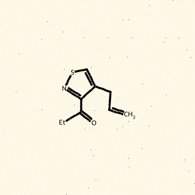 C=CCc1csnc1C(=O)CC